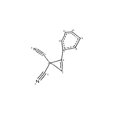 N#CC1(C#N)[C]=C1c1ccccc1